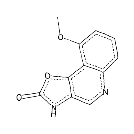 COc1cccc2ncc3[nH]c(=O)oc3c12